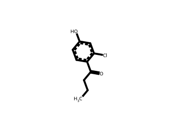 CCCC(=O)c1ccc(O)cc1Cl